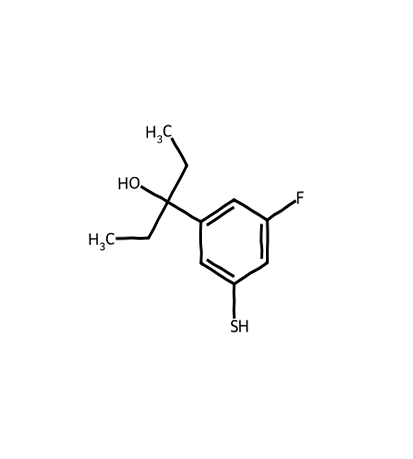 CCC(O)(CC)c1cc(F)cc(S)c1